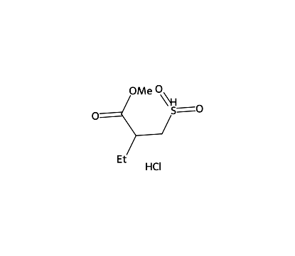 CCC(C[SH](=O)=O)C(=O)OC.Cl